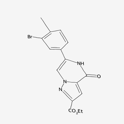 CCOC(=O)c1cc2c(=O)[nH]c(-c3ccc(C)c(Br)c3)cn2n1